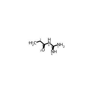 [CH2]CC(=O)NC(=N)N